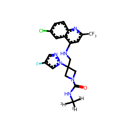 [2H]C([2H])([2H])NC(=O)N1CC(CNc2cc(C(F)(F)F)nc3ccc(Cl)cc23)(n2cc(F)cn2)C1